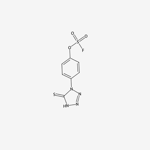 O=S(=O)(F)Oc1ccc(-n2nn[nH]c2=S)cc1